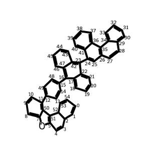 C1=CC2C=Cc3oc4cccc(-c5ccc(-c6c7ccccc7c(-c7cc8ccc9ccccc9c8c8ccccc78)c7ccccc67)cc5)c4c3C2C=C1